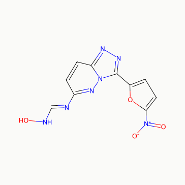 O=[N+]([O-])c1ccc(-c2nnc3ccc(N=CNO)nn23)o1